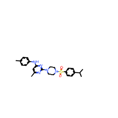 Cc1ccc(Nc2cc(C)nc(N3CCN(S(=O)(=O)c4ccc(C(C)C)cc4)CC3)n2)cc1